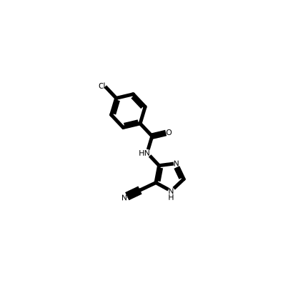 N#Cc1[nH]cnc1NC(=O)c1ccc(Cl)cc1